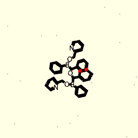 c1ccc(B(OCc2ccccn2)C(OC(B(OCc2ccccn2)c2ccccc2)c2ccccc2)c2ccccc2)cc1